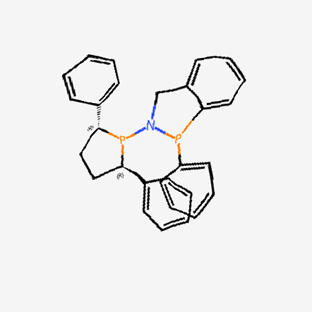 c1ccc([C@H]2CC[C@H](c3ccccc3)P2N2Cc3ccccc3P2c2ccccc2)cc1